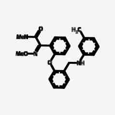 CNC(=O)C(=NOC)c1ccccc1Oc1ccccc1CNc1cccc(C)c1